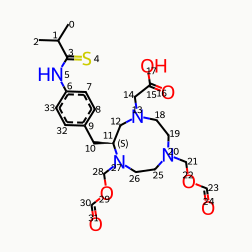 CC(C)C(=S)Nc1ccc(C[C@H]2CN(CC(=O)O)CCN(COC=O)CCN2COC=O)cc1